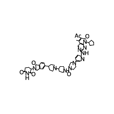 CC(=O)c1c(C)c2cnc(Nc3ccc(N4CCN(C(=O)N5CCC(N6CCC(c7ccc8c(c7)CN(C7CCC(=O)NC7=O)C8=O)CC6)CC5)CC4)cn3)nc2n(C2CCCC2)c1=O